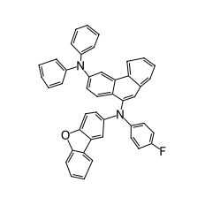 Fc1ccc(N(c2ccc3oc4ccccc4c3c2)c2cc3ccccc3c3cc(N(c4ccccc4)c4ccccc4)ccc23)cc1